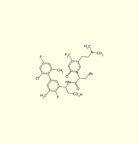 Cc1cc(-c2c(C)cc(F)cc2Cl)cc(C(CC(=O)O)NC(=O)C(CC(C)C)n2cc(CCN(C)C)c(C(F)(F)F)cc2=O)c1F